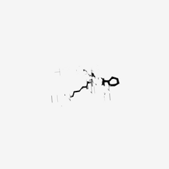 NCCCC[C@H](N)C(=O)N[C@@H](Cc1c[nH]c2ccccc12)C(=O)NCC(=O)O